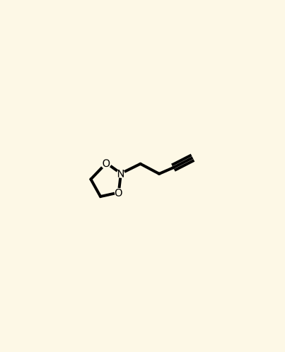 C#CCCN1OCCO1